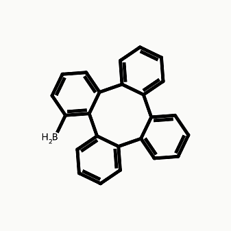 Bc1cccc2c1-c1ccccc1-c1ccccc1-c1ccccc1-2